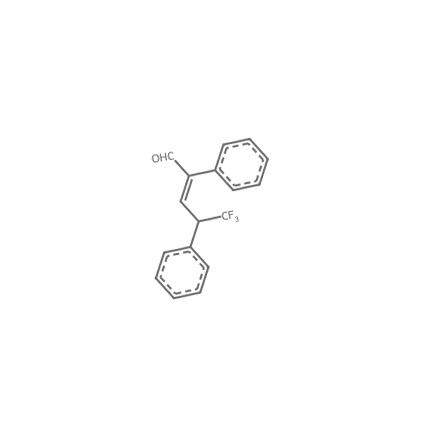 O=CC(=CC(c1ccccc1)C(F)(F)F)c1ccccc1